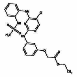 CCOC(=O)COc1cccc(Nc2ncc(Cl)c(Nc3ccccc3NS(C)(=O)=O)n2)c1